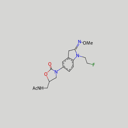 CON=C1Cc2cc(N3CC(CNC(C)=O)OC3=O)ccc2N1CCF